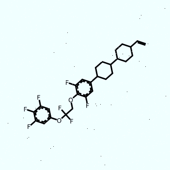 C=CC1CCC(C2CCC(c3cc(F)c(OCC(F)(F)Oc4cc(F)c(F)c(F)c4)c(F)c3)CC2)CC1